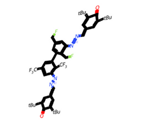 CC(C)(C)C1=CC(=C/N=N/c2cc(CF)cc(-c3cc(C(F)(F)F)cc(/N=N/C=C4C=C(C(C)(C)C)C(=O)C(C(C)(C)C)=C4)c3C(F)(F)F)c2CF)C=C(C(C)(C)C)C1=O